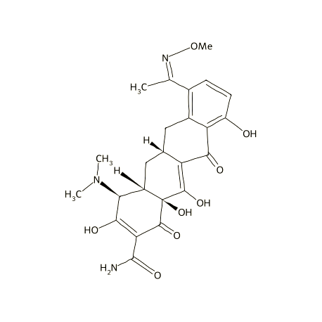 CO/N=C(/C)c1ccc(O)c2c1C[C@H]1C[C@H]3[C@H](N(C)C)C(O)=C(C(N)=O)C(=O)[C@@]3(O)C(O)=C1C2=O